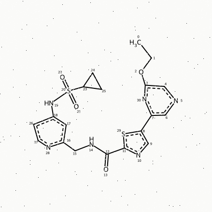 CCOc1cncc(-c2cnc(C(=O)NCc3cc(NS(=O)(=O)C4CC4)ccn3)s2)n1